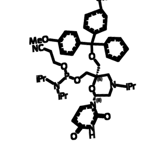 COc1ccc(C(OC[C@]2(COP(OCCC#N)N(C(C)C)C(C)C)CN(C(C)C)C[C@H](n3ccc(=O)[nH]c3=O)O2)(c2ccccc2)c2ccc(OC)cc2)cc1